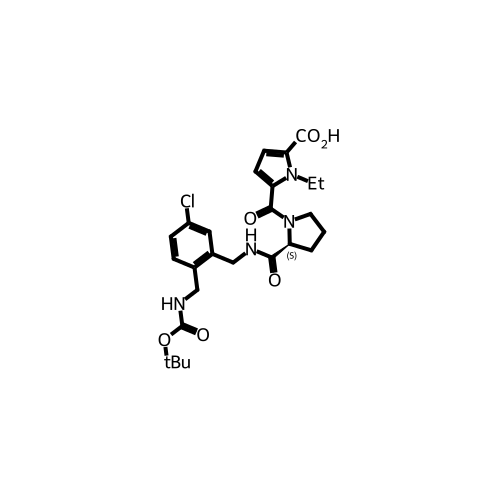 CCn1c(C(=O)O)ccc1C(=O)N1CCC[C@H]1C(=O)NCc1cc(Cl)ccc1CNC(=O)OC(C)(C)C